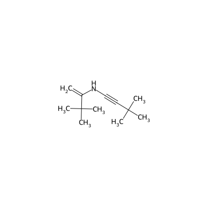 C=C(NC#CC(C)(C)C)C(C)(C)C